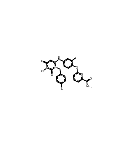 CCn1c(=O)cc(Nc2ccc(Oc3cccc(C(N)=O)n3)c(C)c2)n(Cc2ccc(Cl)cc2)c1=O